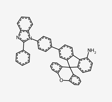 Nc1cccc2c1-c1ccc(-c3ccc(-n4c(-c5ccccc5)nc5ccccc54)cc3)cc1C21c2ccccc2Oc2ccccc21